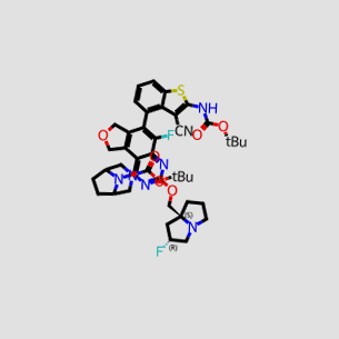 CC(C)(C)OC(=O)Nc1sc2cccc(-c3c4c(c5c(N6C7CCC6CN(C(=O)OC(C)(C)C)C7)nc(OC[C@@]67CCCN6C[C@H](F)C7)nc5c3F)COC4)c2c1C#N